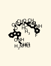 CCN(CCNC(=O)c1c(C)[nH]c(/C=C2\C(=O)Nc3ccc(F)cc32)c1C)C(=O)OCC1c2ccccc2-c2c(C(=O)NCCN)cccc21.Cl.Cl